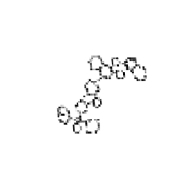 O=P(c1ccccc1)(c1ccccc1)c1ccc2c(c1)oc1cc(-c3cc4c(c5ccccc35)Oc3ccc5ccccc5c3O4)ccc12